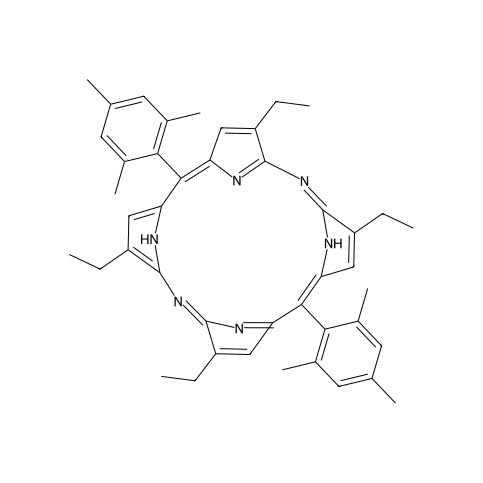 CCC1=Cc2nc1nc1[nH]c(cc1CC)c(-c1c(C)cc(C)cc1C)c1nc(nc3[nH]c(cc3CC)c2-c2c(C)cc(C)cc2C)C(CC)=C1